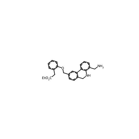 CCOC(=O)Cc1ccccc1OCc1ccc2c(c1)-c1cccc(CN)c1NC2